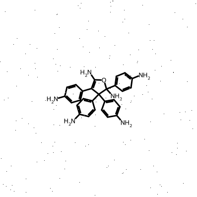 NC1=C(c2ccc(N)cc2)C(c2ccc(N)cc2)(c2ccc(N)cc2)C(N)(c2ccc(N)cc2)O1